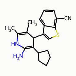 CC1=C(C)C(c2csc3c(C#N)cccc23)C(C2CCCC2)=C(N)N1